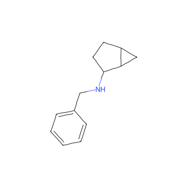 c1ccc(CNC2CCC3CC32)cc1